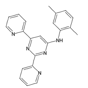 Cc1ccc(C)c(Nc2cc(-c3ccccn3)nc(-c3ccccn3)n2)c1